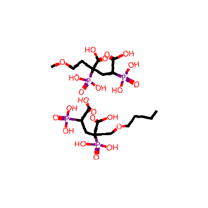 CCCCOCC(CC(C(=O)O)P(=O)(O)O)(C(=O)O)P(=O)(O)O.COCCC(CC(C(=O)O)P(=O)(O)O)(C(=O)O)P(=O)(O)O